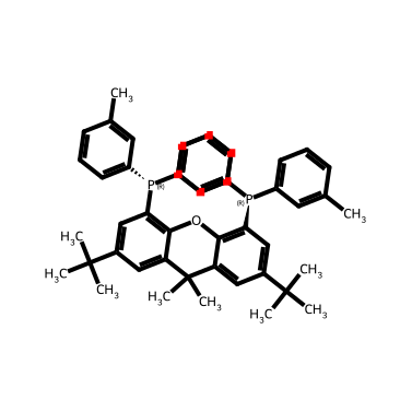 Cc1cccc([P@](c2ccccc2)c2cc(C(C)(C)C)cc3c2Oc2c([P@@](c4ccccc4)c4cccc(C)c4)cc(C(C)(C)C)cc2C3(C)C)c1